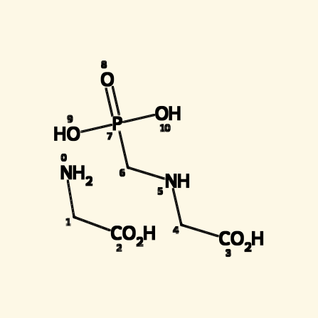 NCC(=O)O.O=C(O)CNCP(=O)(O)O